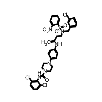 C=C(CCN(Cc1cccc(Cl)c1)S(=O)(=O)c1ccccc1[N+](=O)[O-])Nc1ccc(N2CCN(C(=O)Nc3c(Cl)cccc3Cl)CC2)cc1